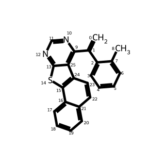 C=C(c1ccccc1C)c1ncnc2sc3c4ccccc4ccc3c12